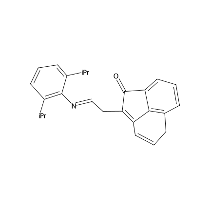 CC(C)c1cccc(C(C)C)c1N=CCC1=C2C=CCc3cccc(c32)C1=O